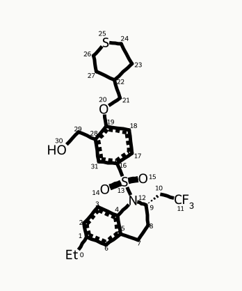 CCc1ccc2c(c1)CC[C@@H](CC(F)(F)F)N2S(=O)(=O)c1ccc(OCC2CCSCC2)c(CO)c1